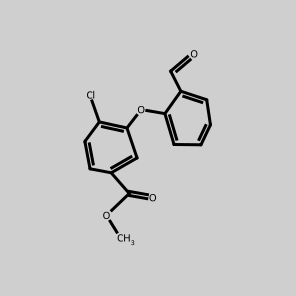 COC(=O)c1ccc(Cl)c(Oc2ccccc2C=O)c1